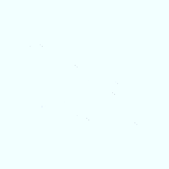 CC(C)Oc1cc2c(OCC3CCC(=O)N3)ncc(-c3cnn(C4CC(N(C)C)C4)c3)c2cc1C(N)=O